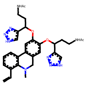 C=Cc1cccc2c1N(C)Cc1cc(OC(CCNC(C)=O)c3c[nH]nn3)c(OC(CCNC(C)=O)c3c[nH]nn3)cc1-2